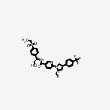 CCS(=O)(=O)c1ccc([C@H](CO)NC(=O)c2ccc(N3CC(c4ccc(C(F)(F)F)cc4)C[C@H]3CF)nc2)cc1